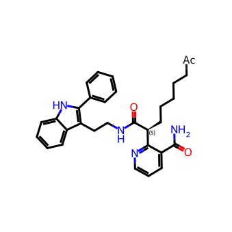 CC(=O)CCCCC[C@H](C(=O)NCCc1c(-c2ccccc2)[nH]c2ccccc12)c1ncccc1C(N)=O